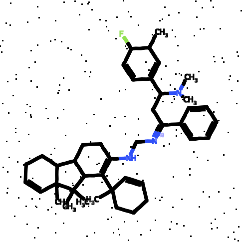 CC1C=C(C(C/C(=N\CNC2=C(C3(C)C=CCCC3)C3C(CC2)C2CCC=CC2(C)C3(C)C)c2ccccc2)N(C)C)C=CC1F